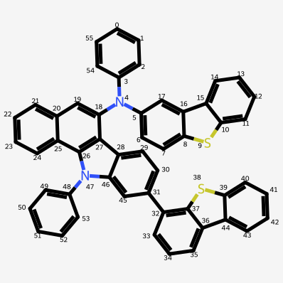 c1ccc(N(c2ccc3sc4ccccc4c3c2)c2cc3ccccc3c3c2c2ccc(-c4cccc5c4sc4ccccc45)cc2n3-c2ccccc2)cc1